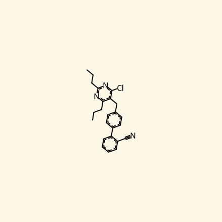 CCCc1nc(Cl)c(Cc2ccc(-c3ccccc3C#N)cc2)c(CCC)n1